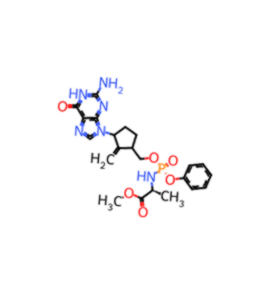 C=C1C(COP(=O)(N[C@@H](C)C(=O)OC)Oc2ccccc2)CCC1n1cnc2c(=O)[nH]c(N)nc21